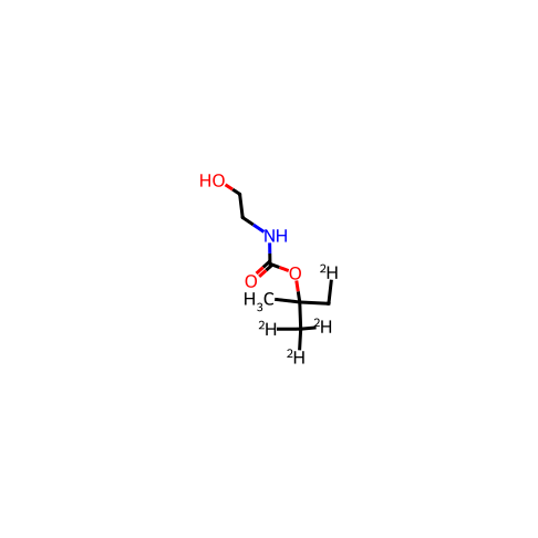 [2H]CC(C)(OC(=O)NCCO)C([2H])([2H])[2H]